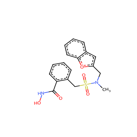 CN(Cc1cc2ccccc2o1)S(=O)(=O)Cc1ccccc1C(=O)NO